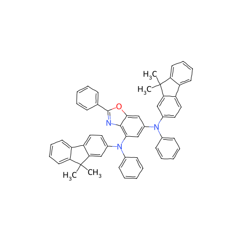 CC1(C)c2ccccc2-c2ccc(N(c3ccccc3)c3cc(N(c4ccccc4)c4ccc5c(c4)C(C)(C)c4ccccc4-5)c4nc(-c5ccccc5)oc4c3)cc21